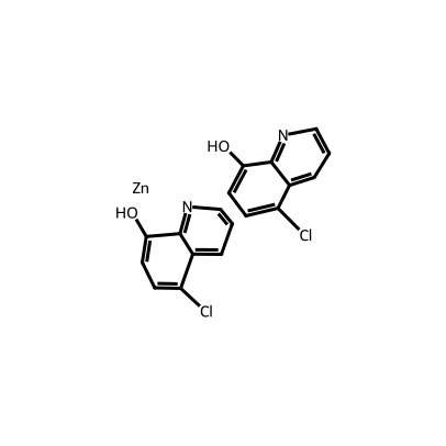 Oc1ccc(Cl)c2cccnc12.Oc1ccc(Cl)c2cccnc12.[Zn]